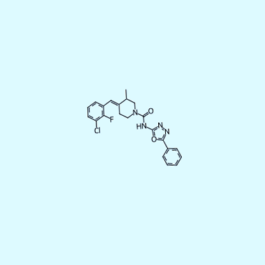 CC1CN(C(=O)Nc2nnc(-c3ccccc3)o2)CCC1=Cc1cccc(Cl)c1F